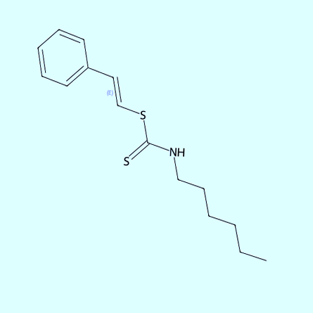 CCCCCCNC(=S)S/C=C/c1ccccc1